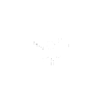 O=C1CCC(=S)N1.[N-]=[N+]=Nc1ccc(C(=O)O)cc1